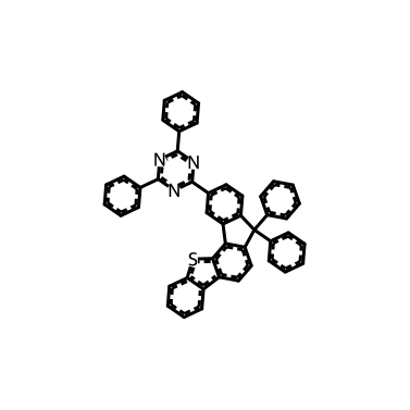 c1ccc(-c2nc(-c3ccccc3)nc(-c3ccc4c(c3)-c3c(ccc5c3sc3ccccc35)C4(c3ccccc3)c3ccccc3)n2)cc1